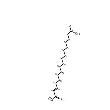 CC(O)CCCCCCCCCCCCC/C=C/C(=O)O